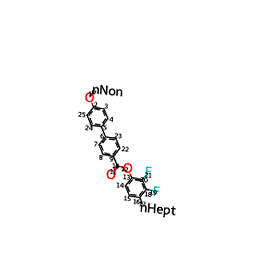 CCCCCCCCCOc1ccc(-c2ccc(C(=O)Oc3ccc(CCCCCCC)c(F)c3F)cc2)cc1